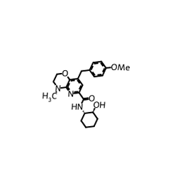 COc1ccc(Cc2cc(C(=O)N[C@H]3CCCC[C@@H]3O)nc3c2OCCN3C)cc1